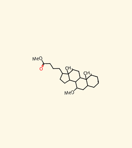 COC(=O)CCCC1CCC2C3C(OC)CC4CCCCC4(C)C3CCC12C